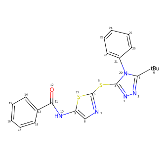 CC(C)(C)c1nnc(Sc2ncc(NC(=O)c3ccccc3)s2)n1-c1ccccc1